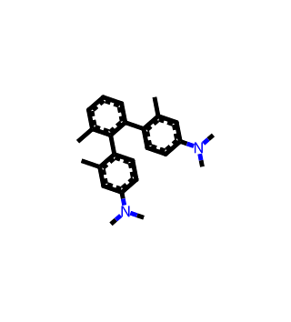 Cc1cc(N(C)C)ccc1-c1cccc(C)c1-c1ccc(N(C)C)cc1C